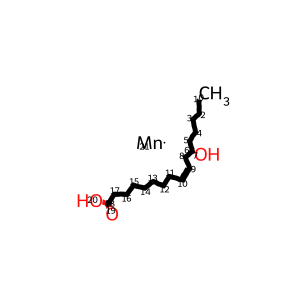 CCCCCC[C@@H](O)C/C=C\CCCCCCCC(=O)O.[Mn]